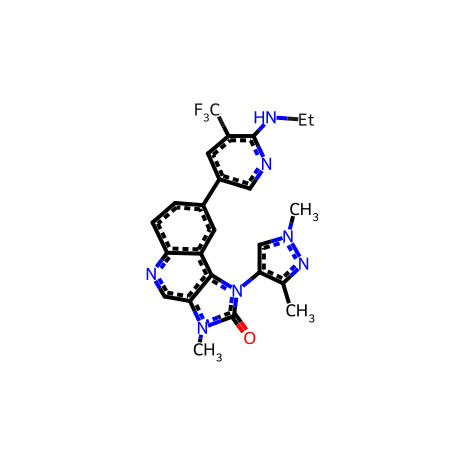 CCNc1ncc(-c2ccc3ncc4c(c3c2)n(-c2cn(C)nc2C)c(=O)n4C)cc1C(F)(F)F